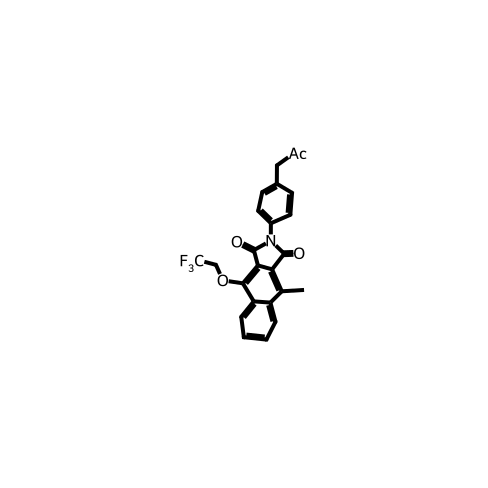 CC(=O)Cc1ccc(N2C(=O)c3c(c(OCC(F)(F)F)c4ccccc4c3C)C2=O)cc1